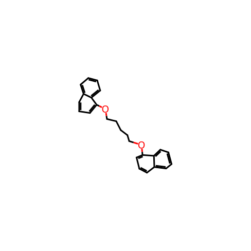 c1ccc2c(OCCCCCOc3cccc4ccccc34)cccc2c1